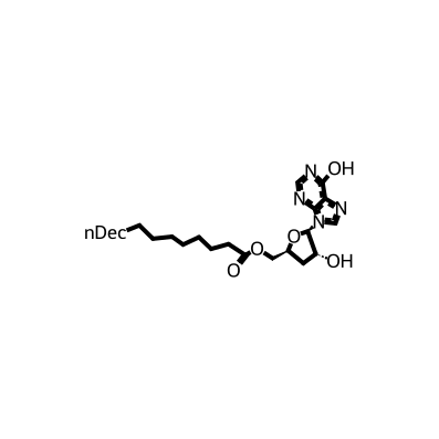 CCCCCCCCCCCCCCCCCC(=O)OC[C@@H]1C[C@@H](O)[C@H](n2cnc3c(O)ncnc32)O1